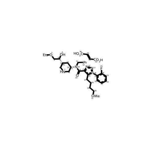 CCOCC(O)[C@H]1CNC[C@@H](N(CC(C)C)C(=O)c2nnn(-c3ccccc3F)c2CCCCOC)C1.O=C(O)C=CC(=O)O